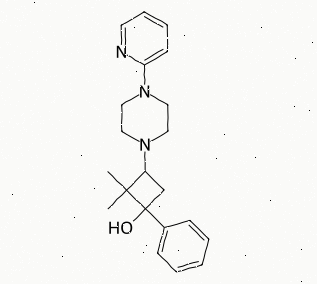 CC1(C)C(N2CCN(c3ccccn3)CC2)CC1(O)c1ccccc1